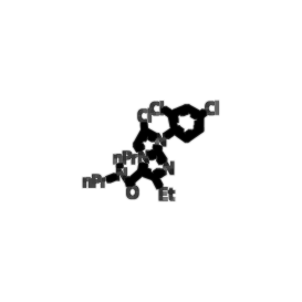 CCCN(CCC)C(=O)c1c(CC)nc2n(-c3ccc(Cl)cc3Cl)c(Cl)cn12